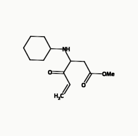 C=CC(=O)C(CC(=O)OC)NC1CCCCC1